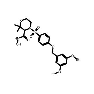 CCOc1cc(COc2ccc(S(=O)(=O)N3CCSC(C)(C)C3C(=O)NO)cc2)cc(OCC)c1